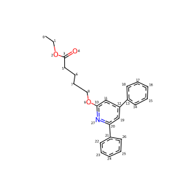 CCOC(=O)CCCCOc1cc(-c2ccccc2)cc(-c2ccccc2)n1